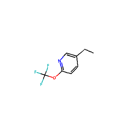 CCc1ccc(OC(F)(F)F)nc1